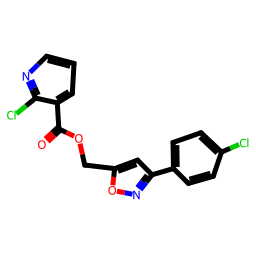 O=C(OCc1cc(-c2ccc(Cl)cc2)no1)c1cccnc1Cl